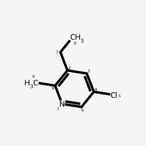 C[CH]c1cc(Cl)cnc1C